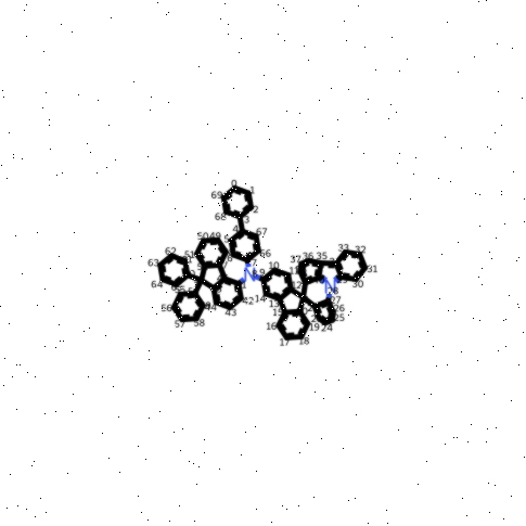 c1ccc(-c2ccc(N(c3ccc4c(c3)-c3ccccc3C43c4ccccc4-n4c5ccccc5c5cccc3c54)c3cccc4c3-c3ccccc3C4(c3ccccc3)c3ccccc3)cc2)cc1